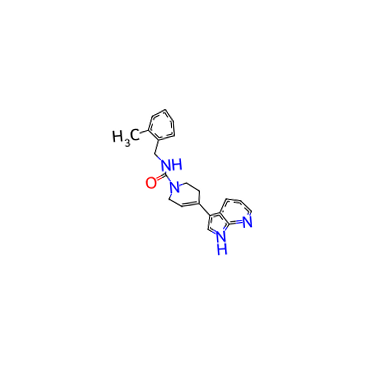 Cc1ccccc1CNC(=O)N1CC=C(c2c[nH]c3ncccc23)CC1